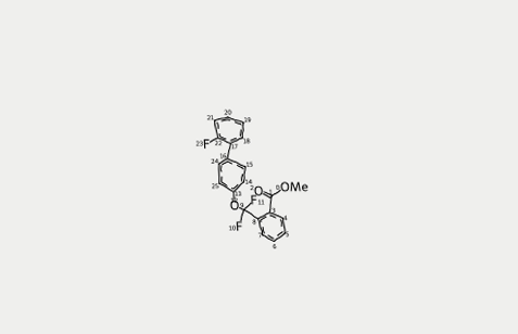 COC(=O)c1ccccc1C(F)(F)Oc1ccc(-c2ccccc2F)cc1